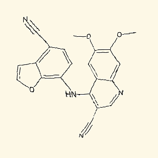 COc1cc2ncc(C#N)c(Nc3ccc(C#N)c4ccoc34)c2cc1OC